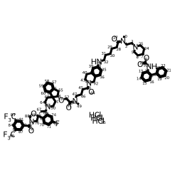 CN(CCN1CCC(OC(=O)Nc2ccccc2-c2ccccc2)CC1)C(=O)CCCCCNc1ccc2c(c1)CCN(C(=O)CCCN(C)C(=O)CO[C@H]1Cc3ccccc3C13CCN(CC[C@]1(c4ccc(F)cc4)CN(C(=O)c4cc(C(F)(F)F)cc(C(F)(F)F)c4)CO1)CC3)C2.Cl.Cl.Cl